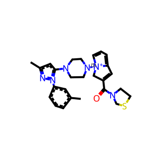 Cc1cccc(-n2nc(C)cc2N2CCN([N@@+]34C=CC=C3C=C(C(=O)N3CCSC3)C4)CC2)c1